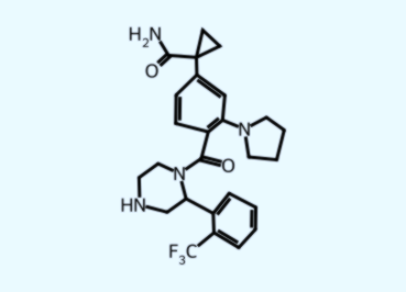 NC(=O)C1(c2ccc(C(=O)N3CCNCC3c3ccccc3C(F)(F)F)c(N3CCCC3)c2)CC1